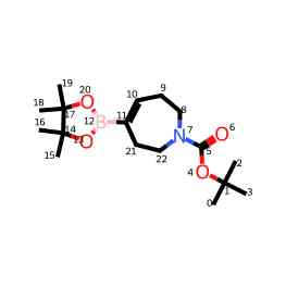 CC(C)(C)OC(=O)N1CCC=C(B2OC(C)(C)C(C)(C)O2)CC1